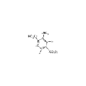 CCOC(=O)c1c(C)cc(C(=O)O)c([N+](=O)[O-])c1C